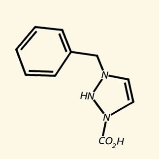 O=C(O)N1C=CN(Cc2ccccc2)N1